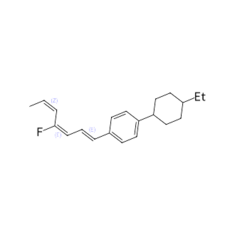 C\C=C/C(F)=C\C=C\c1ccc(C2CCC(CC)CC2)cc1